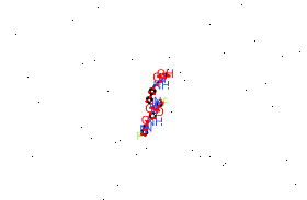 CC(C)(C)CN(CCNCc1ccc(-c2cccc(-n3c(=O)n([C@H]4CC[C@@H](NC(=O)c5cn6cc(F)ccc6n5)CC4)c(=O)c4cc(F)cnc43)c2)cc1)C(=O)O